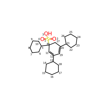 O=S(=O)(O)C1(C2CCCCC2)C=C(C2CCCCC2)C=C(C2CCCCC2)C1